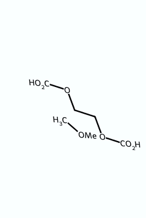 COC.O=C(O)OCCOC(=O)O